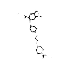 COC(=O)c1cc2cnn(C)c2cc1Oc1ccc(OCCOC2CCN(C(=O)OC(C)(C)C)CC2)cc1